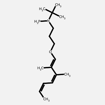 C\C=C/C=C(C)\C(C)=C\OCCCN(P)C(C)(C)C